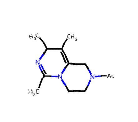 CC(=O)N1CCN2C(C)=NC(C)C(C)=C2C1